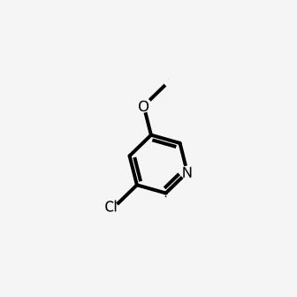 COc1cn[c]c(Cl)c1